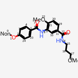 CCCCCCCCCOc1ccc(C(=O)Nc2cc(C(=O)NCCCOC)ccc2OC)cc1